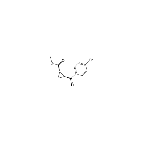 COC(=O)[C@@H]1C[C@@H]1C(=O)c1ccc(Br)cc1